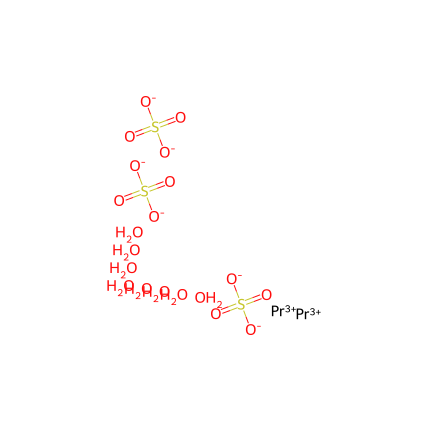 O.O.O.O.O.O.O.O.O=S(=O)([O-])[O-].O=S(=O)([O-])[O-].O=S(=O)([O-])[O-].[Pr+3].[Pr+3]